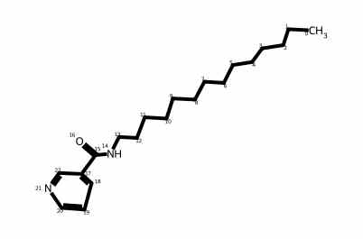 CCCCCCCCCCCCCCNC(=O)c1cccnc1